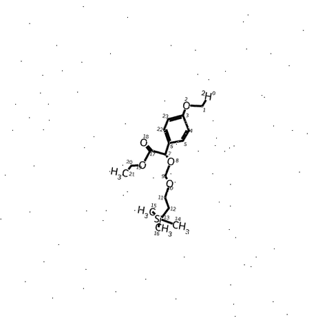 [2H]COc1ccc([C@@H](OCOCC[Si](C)(C)C)C(=O)OCC)cc1